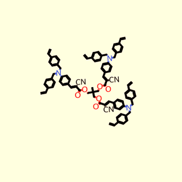 C=Cc1ccc(CN(Cc2ccc(C=C)cc2)c2ccc(/C=C(\C#N)C(=O)OCC(C)(COC(=O)/C(C#N)=C/c3ccc(N(Cc4ccc(C=C)cc4)Cc4ccc(C=C)cc4)cc3)COC(=O)/C(C#N)=C/c3ccc(N(Cc4ccc(C=C)cc4)Cc4ccc(C=C)cc4)cc3)cc2)cc1